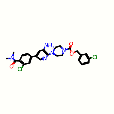 CN(C)C(=O)c1ccc(-c2cnc(N3CCN(C(=O)OCc4cccc(Cl)c4)CC3)c(N)c2)cc1Cl